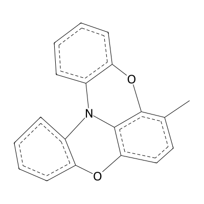 Cc1ccc2c3c1Oc1ccccc1N3c1ccccc1O2